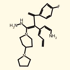 C=C/C=C(\C=C/N)C(/C(=C)c1ccc(F)cc1)=C(/NN)N1CCC(N2CCCC2)CC1